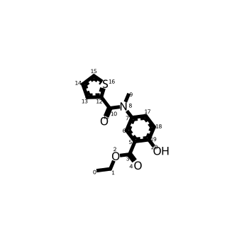 CCOC(=O)c1cc(N(C)C(=O)c2cccs2)ccc1O